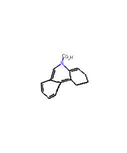 O=C(O)N1C=c2ccccc2=C2CCCC=C21